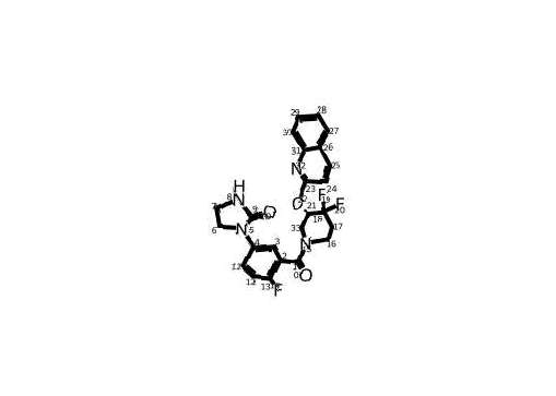 O=C(c1cc(N2CCNC2=O)ccc1F)N1CCC(F)(F)[C@@H](Oc2ccc3ccccc3n2)C1